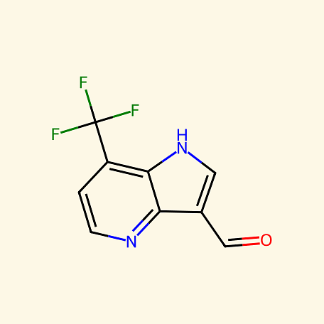 O=Cc1c[nH]c2c(C(F)(F)F)ccnc12